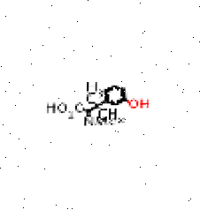 CNC(C(=O)O)C(C)(C)c1cccc(O)c1